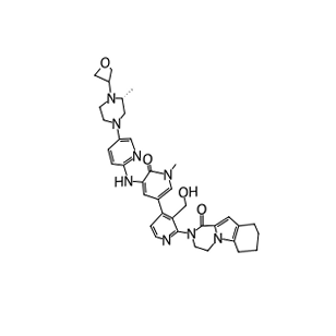 C[C@@H]1CN(c2ccc(Nc3cc(-c4ccnc(N5CCn6c(cc7c6CCCC7)C5=O)c4CO)cn(C)c3=O)nc2)CCN1C1COC1